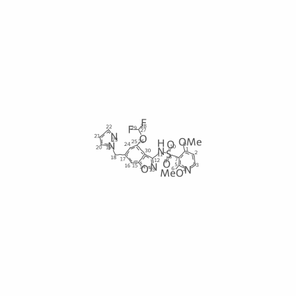 COc1ccnc(OC)c1S(=O)(=O)Nc1noc2cc(Cn3cccn3)cc(OC(F)F)c12